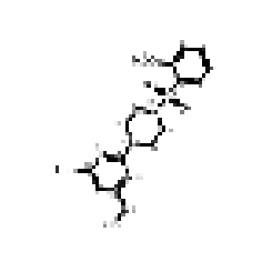 COc1ccccc1S(=O)(=O)N1CCN(c2nc(C)cc(OC(C)C)n2)CC1